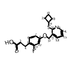 O=C(O)CCc1ccc(OCc2cccnc2SC2CCC2)cc1F